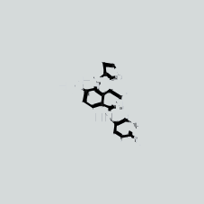 Cc1ccc2c(Nc3ccc(Cl)nc3)nccc2c1Nc1ccsc1